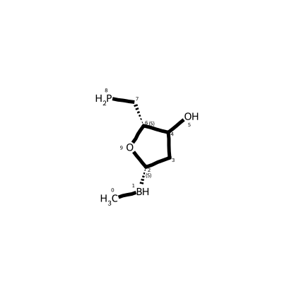 CB[C@H]1CC(O)[C@@H](CP)O1